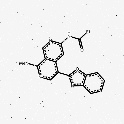 CCC(=O)Nc1cc2c(-c3nc4ccccc4o3)cnc(NC)c2cn1